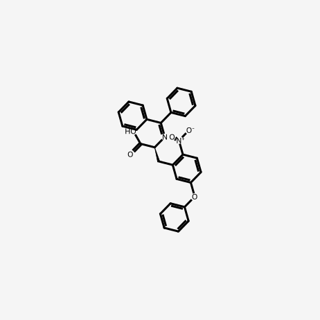 O=C(O)[C@H](Cc1cc(Oc2ccccc2)ccc1[N+](=O)[O-])N=C(c1ccccc1)c1ccccc1